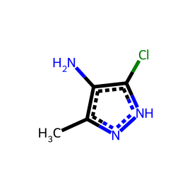 Cc1n[nH]c(Cl)c1N